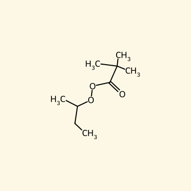 CCC(C)OOC(=O)C(C)(C)C